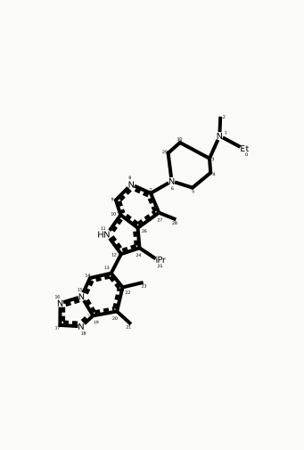 CCN(C)C1CCN(c2ncc3[nH]c(-c4cn5ncnc5c(C)c4C)c(C(C)C)c3c2C)CC1